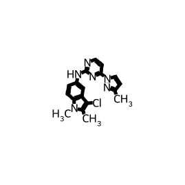 Cc1ccn(-c2ccnc(Nc3ccc4c(c3)c(Cl)c(C)n4C)n2)n1